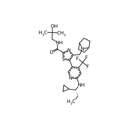 CC[C@@H](Nc1cc(C(F)(F)F)c(-c2sc(C(=O)NCC(C)(C)O)nc2CN2C3CCC2CC3)cn1)C1CC1